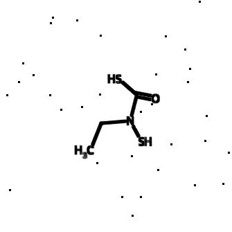 CCN(S)C(=O)S